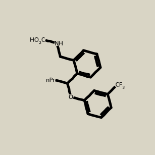 CCCC(Oc1cccc(C(F)(F)F)c1)c1ccccc1CNC(=O)O